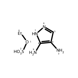 CCOS(=O)(=O)O.Nc1cn[nH]c1N